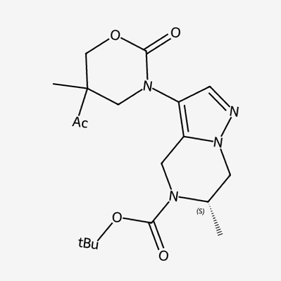 CC(=O)C1(C)COC(=O)N(c2cnn3c2CN(C(=O)OC(C)(C)C)[C@@H](C)C3)C1